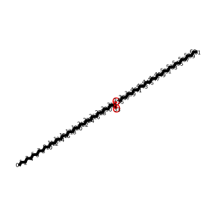 CCCCCCCCCCCCCCCCCCCCCCCCCCCCCCCCC(=O)OCCCCCCCCCCCCCCCCCCCCCCCCCCC